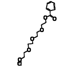 O=C(OCCOCCOCCOCCOCl)c1ccccc1